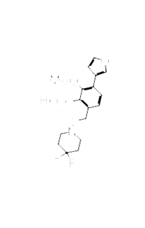 COc1c(-c2ccoc2)ccc(CSN2CCC(F)(F)CC2)c1C(=O)O